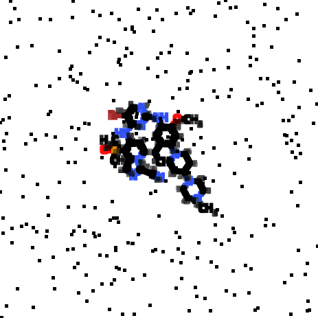 CCc1cc(Nc2ncc(Br)c(Nc3ccn4c(C#N)ncc4c3P(C)(C)=O)n2)c(OC)cc1N1CCC(N2CCN(C)CC2)CC1